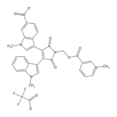 Cn1cc(C2=C(c3cn(C)c4cc([N+](=O)[O-])ccc34)C(=O)N(COC(=O)c3ccc[n+](C)c3)C2=O)c2ccccc21.O=C([O-])C(F)(F)F